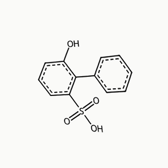 O=S(=O)(O)c1cccc(O)c1-c1ccccc1